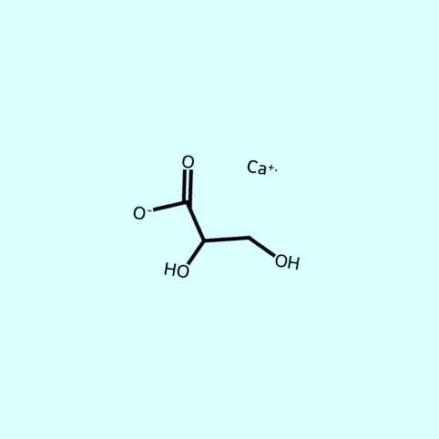 O=C([O-])C(O)CO.[Ca+]